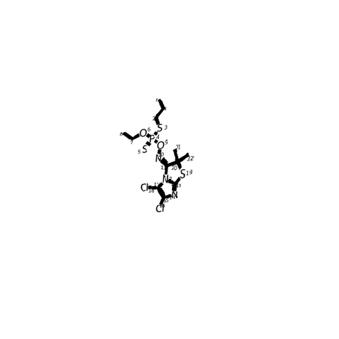 CCCSP(=S)(OCC)ON=C1n2c(nc(Cl)c2Cl)SC1(C)C